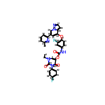 CCn1cc(OC(=O)Nc2ccc(Oc3cc(-c4cccc(C)n4)cn4nccc34)c(F)c2)c(=O)n(-c2ccc(F)cc2)c1=O